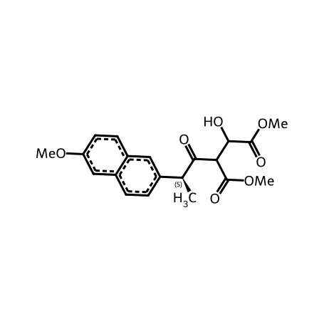 COC(=O)C(O)C(C(=O)OC)C(=O)[C@@H](C)c1ccc2cc(OC)ccc2c1